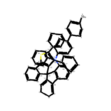 CC(C)(C)c1ccc(-c2ccc(N(c3ccccc3)c3cccc4c3C3(C5=CCCC=C54)c4ccccc4-c4sc(-c5ccccc5)c(-c5ccccc5)c43)cc2)cc1